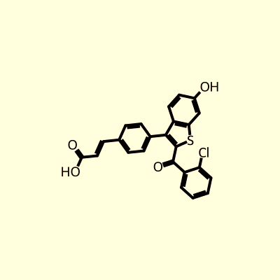 O=C(O)/C=C/c1ccc(-c2c(C(=O)c3ccccc3Cl)sc3cc(O)ccc23)cc1